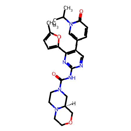 Cc1ccc(-c2nc(NC(=O)N3CCN4CCOC[C@@H]4C3)ncc2-c2ccc(=O)n(C(C)C)c2)o1